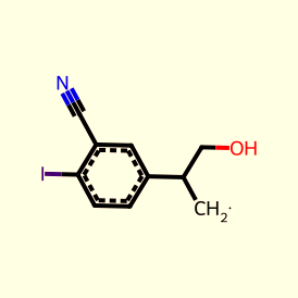 [CH2]C(CO)c1ccc(I)c(C#N)c1